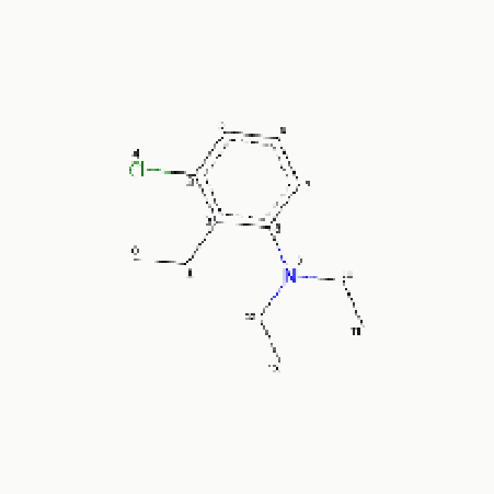 CCc1c(Cl)cccc1N(CC)CC